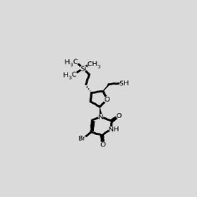 C[Si](C)(C)CC[C@H]1C[C@H](n2cc(Br)c(=O)[nH]c2=O)O[C@@H]1CS